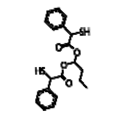 CCCC(OC(=O)C(S)c1ccccc1)OC(=O)C(S)c1ccccc1